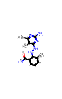 CNc1nc(N)nc(NNc2c(C([NH])=O)cccc2C(F)(F)F)c1C#N